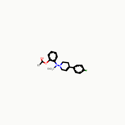 CCOC(=O)N(c1ccccc1OC(O)CC)N1CC=C(c2ccc(F)cc2)CC1